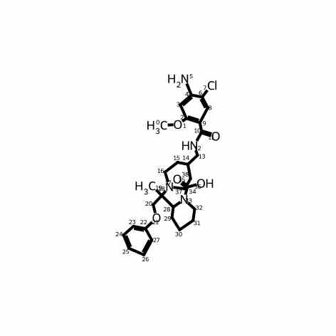 COc1cc(N)c(Cl)cc1C(=O)NCC1CCN(C(C)(COc2ccccc2)C2CCCCN2C(=O)O)CC1